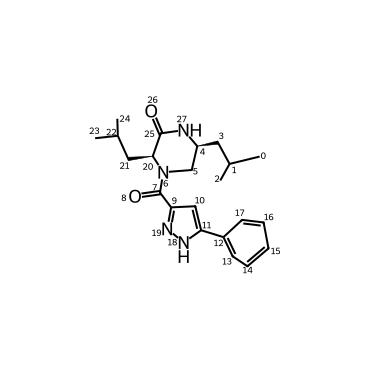 CC(C)C[C@H]1CN(C(=O)c2cc(-c3ccccc3)[nH]n2)[C@@H](CC(C)C)C(=O)N1